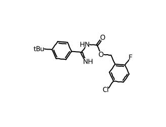 CC(C)(C)c1ccc(C(=N)NC(=O)OCc2cc(Cl)ccc2F)cc1